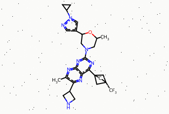 Cc1nc2nc(N3CC(C)OC(c4cnn(C5CC5)c4)C3)nc(C34CC(C(F)(F)F)(C3)C4)c2nc1C1CNC1